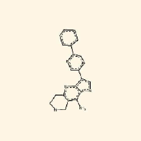 Nc1c2c(nc3c(-c4ccc(-c5ccccc5)nc4)cnn13)CCNC2